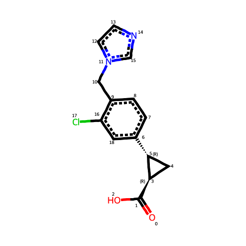 O=C(O)[C@@H]1C[C@H]1c1ccc(Cn2ccnc2)c(Cl)c1